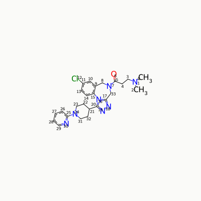 CN(C)CCC(=O)N1Cc2cc(Cl)ccc2-n2c(nnc2C2CCN(c3ccccn3)CC2)C1